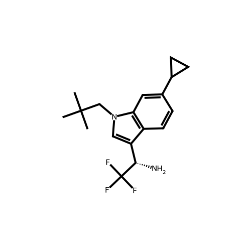 CC(C)(C)Cn1cc([C@H](N)C(F)(F)F)c2ccc(C3CC3)cc21